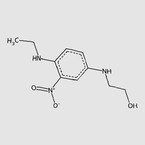 CCNc1ccc(NCCO)cc1[N+](=O)[O-]